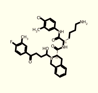 Cc1cc(C(=O)CCC(O)N2Cc3ccccc3C[C@H]2C(=O)N[C@@H](CCCCN)C(=O)Nc2ccc(Cl)c(C)c2)ccc1F